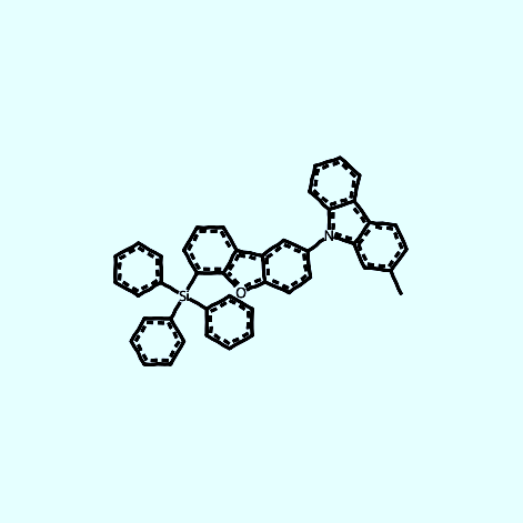 Cc1ccc2c3ccccc3n(-c3ccc4oc5c([Si](c6ccccc6)(c6ccccc6)c6ccccc6)cccc5c4c3)c2c1